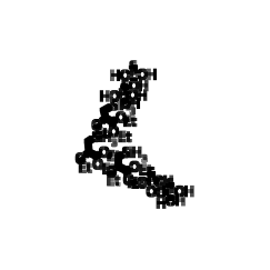 CCOC(C[SiH3])C(OCC)OCC.CCOC(C[SiH3])C(OCC)OCC.CCOC(C[SiH3])C(OCC)OCC.OP(O)(O)=S.OP(O)(O)=S.OP(O)(O)=S.OP(O)(O)=S